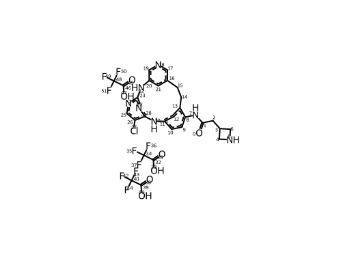 O=C(CC1CNC1)Nc1ccc2cc1CCc1cncc(c1)Nc1ncc(Cl)c(n1)N2.O=C(O)C(F)(F)F.O=C(O)C(F)(F)F.O=C(O)C(F)(F)F